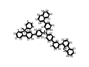 CC1(c2ccccc2)c2ccccc2-c2ccc(-c3ccc(N(c4ccc(-c5cccc(-c6cccc7c6sc6ccccc67)c5)cc4)c4cccc(-c5cccc6ccccc56)c4)cc3)cc21